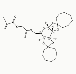 C=C(C)C(=O)OCC(=O)OC[C@H]1O[C@@H]2OC3(CCCCCCC3)O[C@@H]2[C@H]2OC3(CCCCCCC3)O[C@H]21